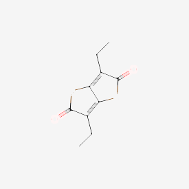 CCC1=C2SC(=O)C(CC)=C2SC1=O